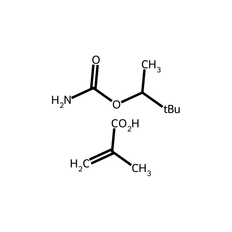 C=C(C)C(=O)O.CC(OC(N)=O)C(C)(C)C